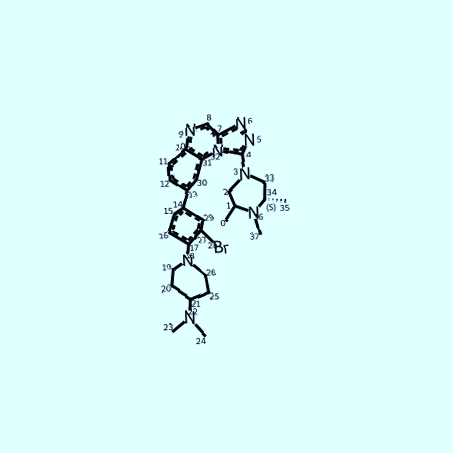 CC1CN(c2nnc3cnc4ccc(-c5ccc(N6CCC(N(C)C)CC6)c(Br)c5)cc4n23)C[C@H](C)N1C